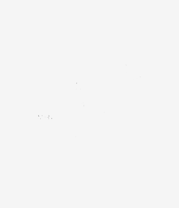 CNC(=O)C(=O)Cc1ccsc1